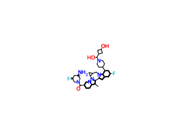 Cc1c(-c2cc3cc(F)cc(C4CCN(C(O)C5CC(O)C5)CC4)c3n2CC2CC2)nn2cc(C(=O)N3C[C@H](N)C[C@@H](F)C3)ccc12